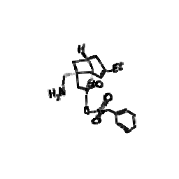 CCC1=C[C@@H]2[C@@H](C1)C[C@]2(CN)CC(=O)OS(=O)(=O)c1ccccc1